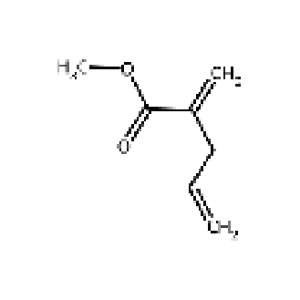 C=CCC(=C)C(=O)OC